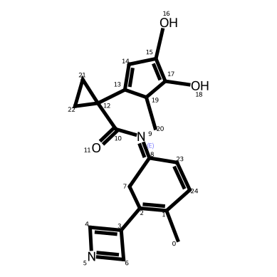 CC1=C(C2=CN=C2)C/C(=N\C(=O)C2(C3=CC(O)=C(O)C3C)CC2)C=C1